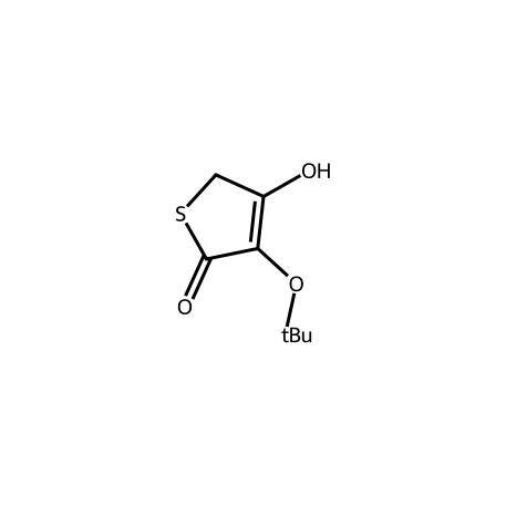 CC(C)(C)OC1=C(O)CSC1=O